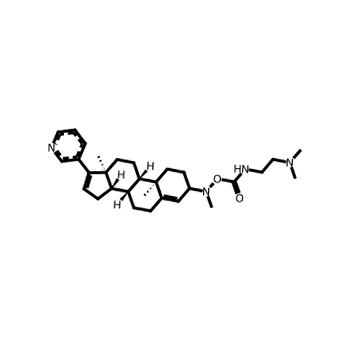 CN(C)CCNC(=O)ON(C)C1C=C2CC[C@H]3[C@H](CC[C@]4(C)C(c5cccnc5)=CC[C@@H]34)[C@@]2(C)CC1